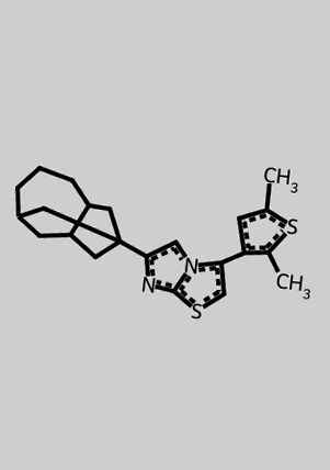 Cc1cc(-c2csc3nc(C45CC6CCCC(C4)C(C6)C5)cn23)c(C)s1